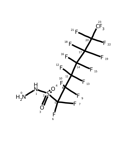 NNS(=O)(=O)C(F)(F)C(F)(F)C(F)(F)C(F)(F)C(F)(F)C(F)(F)C(F)(F)F